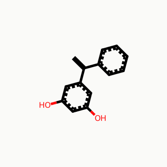 C=C(c1ccccc1)c1cc(O)cc(O)c1